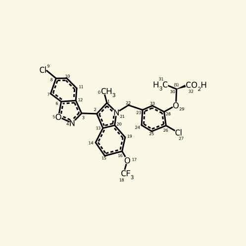 Cc1c(-c2noc3cc(Cl)ccc23)c2ccc(OC(F)(F)F)cc2n1Cc1ccc(Cl)c(O[C@@H](C)C(=O)O)c1